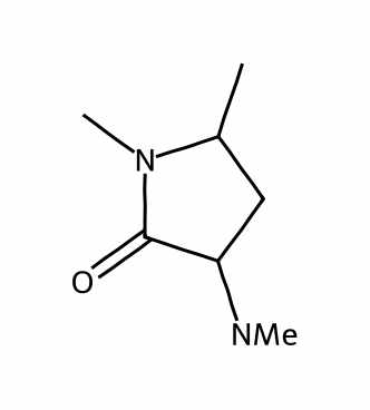 CNC1CC(C)N(C)C1=O